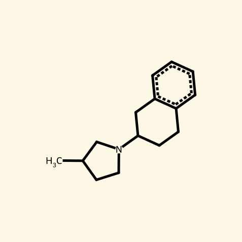 CC1CCN(C2CCc3ccccc3C2)C1